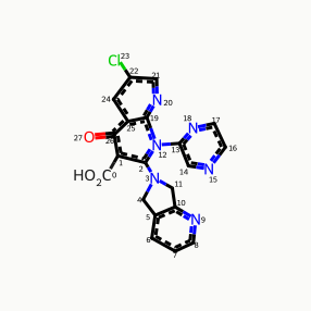 O=C(O)c1c(N2Cc3cccnc3C2)n(-c2cnccn2)c2ncc(Cl)cc2c1=O